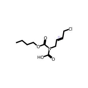 CCCCOC(=O)N(C/C=C/CCl)C(=O)O